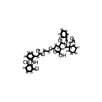 O=NSC1(CN(Cc2ccccc2)C(=O)C(CCOCCOC(=O)Cc2ccccc2Nc2c(Cl)cccc2Cl)CC(=O)O)CCCCC1